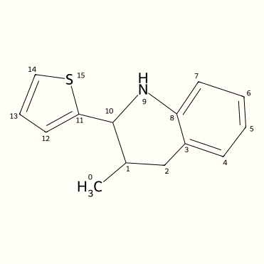 CC1Cc2ccccc2NC1c1cccs1